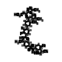 CCc1ccc(NS(=O)(=O)c2ccc([C@@H](C)NC(=O)c3ccc(-c4ccc(C5=N[C@@H](CC(=O)O)c6nnc(C)n6-c6sc(C)c(C)c65)cc4)c(F)c3F)cc2)c2[nH]cc(C#N)c12